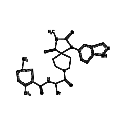 Cc1ccc(C(F)(F)F)cc1C(=O)NC(C(=O)N1CCC2(CC1)C(=O)N(C)C(=O)N2c1ccc2[nH]ncc2c1)C(C)C